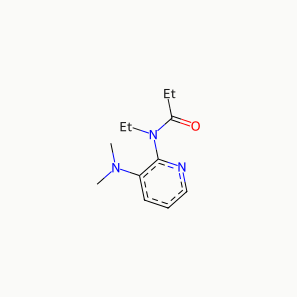 CCC(=O)N(CC)c1ncccc1N(C)C